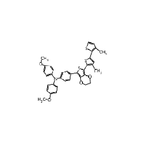 COc1ccc(N(c2ccc(OC)cc2)c2ccc(-c3sc(-c4sc(-c5sccc5C)cc4C)c4c3OCCO4)cc2)cc1